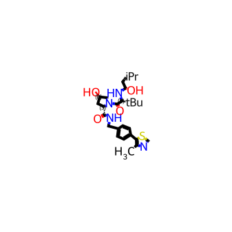 Cc1ncsc1-c1ccc(CNC(=O)[C@@H]2C[C@@H](O)CN2C(=O)[C@@H](NC(O)CC(C)C)C(C)(C)C)cc1